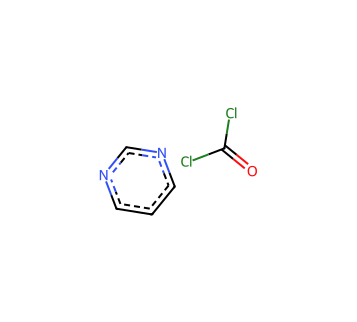 O=C(Cl)Cl.c1cncnc1